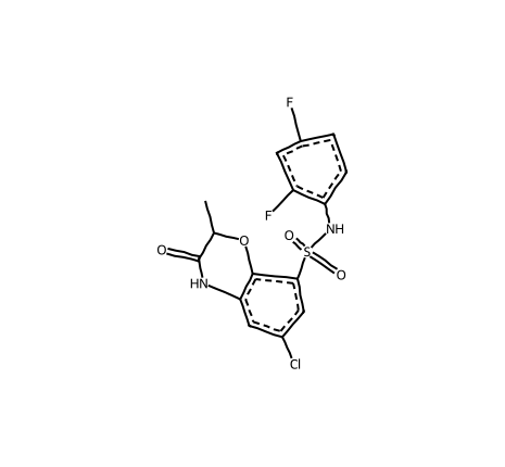 CC1Oc2c(cc(Cl)cc2S(=O)(=O)Nc2ccc(F)cc2F)NC1=O